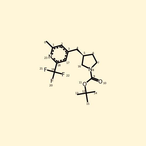 Cc1cc(C[C@H]2CCN(C(=O)OC(C)(C)C)C2)cc(C(F)(F)F)n1